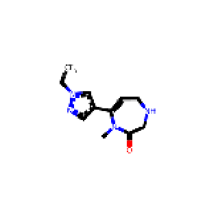 CN1C(=O)CNCC=C1c1cnn(CC(F)(F)F)c1